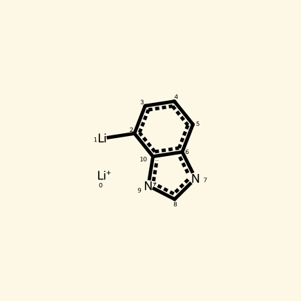 [Li+].[Li][c]1cccc2nc[n-]c12